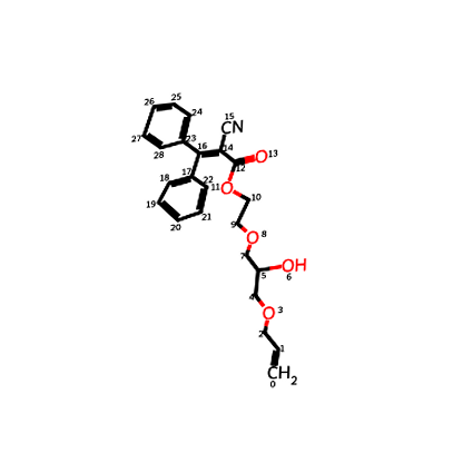 C=CCOCC(O)COCCOC(=O)C(C#N)=C(c1ccccc1)c1ccccc1